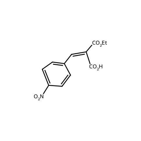 CCOC(=O)C(=Cc1ccc([N+](=O)[O-])cc1)C(=O)O